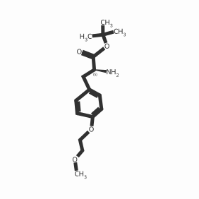 COCCOc1ccc(C[C@H](N)C(=O)OC(C)(C)C)cc1